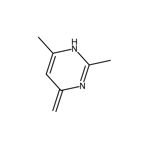 C=C1C=C(C)NC(C)=N1